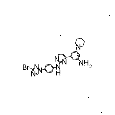 Nc1cc(-c2ccnc(Nc3ccc(-n4cnc(Br)n4)cc3)n2)cc(N2CCCCC2)c1